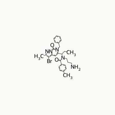 CCC(c1cc2c(Br)c(C)nn2c(=O)n1Cc1ccccc1)N(CCCN)C(=O)c1ccc(C)cc1